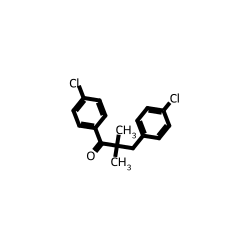 CC(C)(Cc1ccc(Cl)cc1)C(=O)c1ccc(Cl)cc1